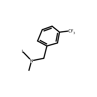 CN(I)Cc1cccc(C(F)(F)F)c1